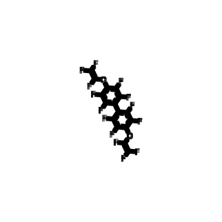 FC(F)=C(F)Oc1c(F)c(F)c(-c2c(F)c(F)c(OC(F)=C(F)F)c(F)c2F)c(F)c1F